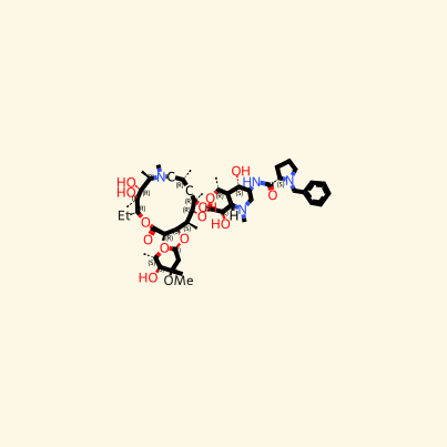 CC[C@H]1OC(=O)[C@H](C)[C@@H](O[C@H]2C[C@@](C)(OC)[C@@H](O)[C@H](C)O2)[C@H](C)[C@@H](O[C@@H]2O[C@H](C)C3[C@H](O)C(NC(=O)[C@@H]4CCCN4Cc4ccccc4)CN(C)[C@@H]3[C@H]2O)[C@](C)(O)C[C@@H](C)CN(C)[C@H](C)[C@@H](O)[C@]1(C)O